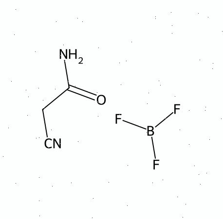 FB(F)F.N#CCC(N)=O